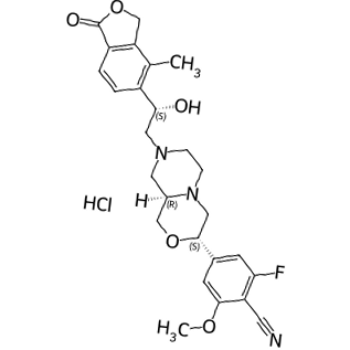 COc1cc([C@H]2CN3CCN(C[C@@H](O)c4ccc5c(c4C)COC5=O)C[C@@H]3CO2)cc(F)c1C#N.Cl